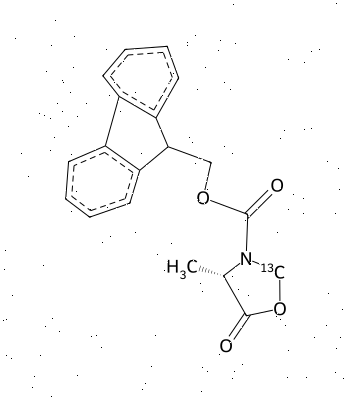 C[C@H]1C(=O)O[13CH2]N1C(=O)OCC1c2ccccc2-c2ccccc21